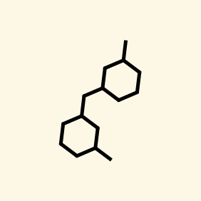 CC1CCCC(CC2CCCC(C)C2)C1